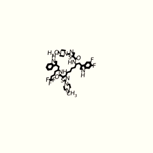 CN1CCN(c2ncc(C(=O)NC(CCCCc3nc(N4CCN(C)CC4)sc3C(=O)NC(CCCC(F)(F)F)Cc3c[nH]c4ccccc34)Cc3c[nH]c4cc(F)c(F)cc34)s2)CC1